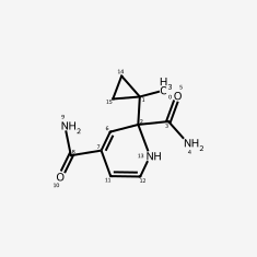 CC1(C2(C(N)=O)C=C(C(N)=O)C=CN2)CC1